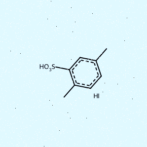 Cc1ccc(C)c(S(=O)(=O)O)c1.I